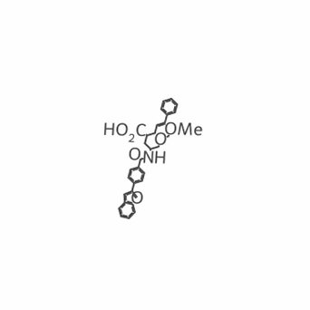 COCOCC(CC(CC=Cc1ccccc1)C(=O)O)NC(=O)c1ccc(-c2cc3ccccc3o2)cc1